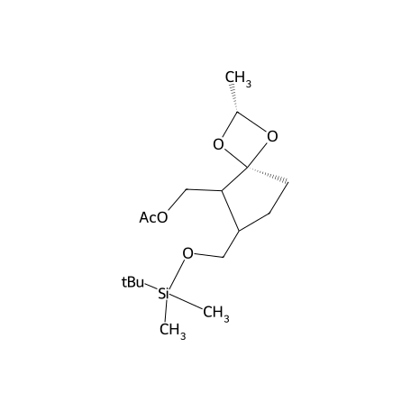 CC(=O)OCC1C(CO[Si](C)(C)C(C)(C)C)CC[C@]12O[C@@H](C)O2